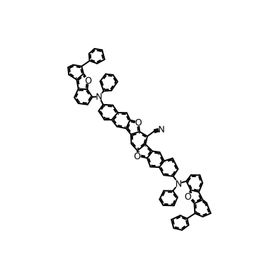 N#Cc1c2oc3cc4cc(N(c5ccccc5)c5cccc6c5oc5c(-c7ccccc7)cccc56)ccc4cc3c2cc2oc3cc4cc(N(c5ccccc5)c5cccc6c5oc5c(-c7ccccc7)cccc56)ccc4cc3c12